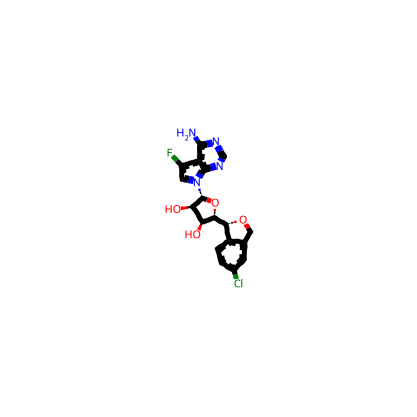 Nc1ncnc2c1c(F)cn2[C@@H]1O[C@H]([C@@H]2OCc3cc(Cl)ccc32)[C@@H](O)[C@H]1O